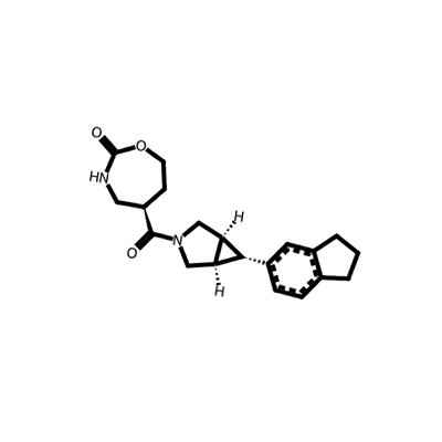 O=C1NC[C@H](C(=O)N2C[C@@H]3[C@H](C2)[C@H]3c2ccc3c(c2)CCC3)CCO1